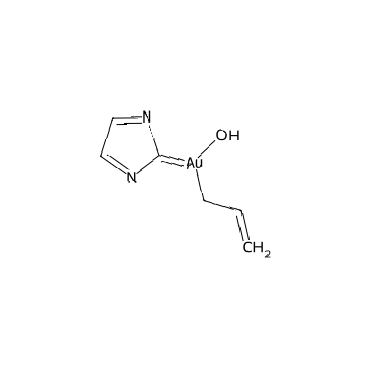 C=C[CH2][Au]([OH])=[C]1N=CC=N1